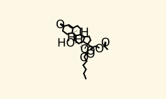 CCCCCOC(=O)O[C@]1(C(=O)COC(C)=O)CC[C@H]2[C@@H]3CCC4=CC(=O)CC[C@]4(C)[C@H]3[C@@H](O)C[C@@]21C